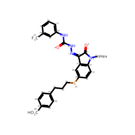 CCCCCCN1C(=O)C(=NNC(=O)Nc2cccc(C(F)(F)F)c2)c2cc(SCCCc3ccc(C(=O)O)cc3)ccc21